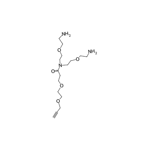 C#CCOCCOCCC(=O)N(CCOCCN)CCOCCN